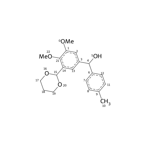 COc1cc(C(O)c2ccc(C)cc2)cc(C2OCCCO2)c1OC